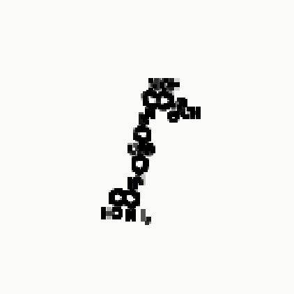 Nc1ccc(N=Nc2ccc(S(=O)(=O)c3ccc(N=Nc4ccc(N)c5c(O)cc(S(=O)(=O)O)cc45)cc3)cc2)c2cccc(O)c12